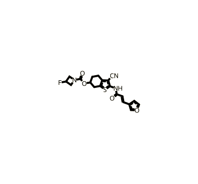 N#Cc1c(NC(=O)C=Cc2ccoc2)sc2c1CCC(OC(=O)N1CC(F)C1)C2